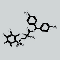 CC(=O)C(C)(COS(=O)(=O)c1c(F)c(F)c(F)c(F)c1F)C(=O)OC(c1ccc(C)cc1)c1ccc(C)cc1